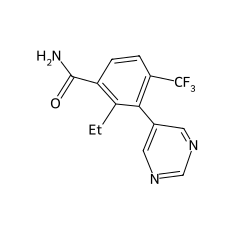 CCc1c(C(N)=O)ccc(C(F)(F)F)c1-c1cncnc1